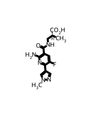 C[C@H](CNC(=O)c1cc(F)c(-c2cnn(C)c2)nc1N)C(=O)O